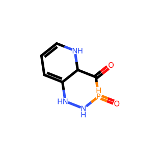 O=C1C2NC=CC=C2NN[PH]1=O